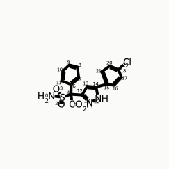 NS(=O)(=O)C(C(=O)O)(c1ccccc1)c1cc(-c2ccc(Cl)cc2)[nH]n1